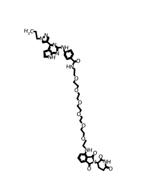 CCCn1cc(-c2nc(Nc3ccc(C(=O)NCCOCCOCCOCCOCCOCCOCCNc4cccc5c4C(=O)N(C4CCC(=O)NC4=O)C5=O)cc3)nc3[nH]ccc23)cn1